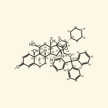 C[C@]12C=CC(=O)C=C1CC[C@H]1[C@@H]3C[C@H]4O[C@@H](C5CCSCC5)O[C@@]4(C(=O)COC(c4ccccc4)(c4ccccc4)c4ccccc4)[C@@]3(C)C[C@H](O)[C@@]12F